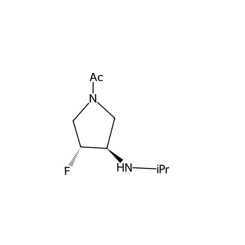 CC(=O)N1C[C@@H](F)[C@H](NC(C)C)C1